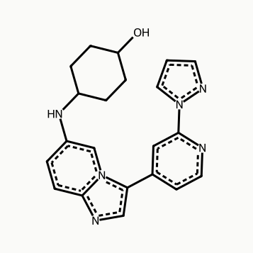 OC1CCC(Nc2ccc3ncc(-c4ccnc(-n5cccn5)c4)n3c2)CC1